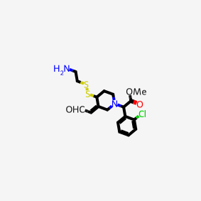 COC(=O)C(c1ccccc1Cl)N1CCC(SSCCN)/C(=C\C=O)C1